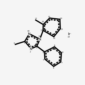 Cc1nc(-c2ccccc2)n(-c2ccccc2C)n1.[Ir]